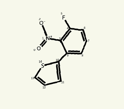 O=[N+]([O-])c1c(F)cccc1-c1cccs1